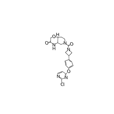 O=C1CO[C@H]2CCN(C(=O)N3CC(c4ccc(Oc5ccnc(Cl)n5)cc4)C3)CC2N1